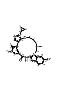 C[C@@H]1CCCOc2c(cnn2C2CC2)-c2cc(cn(C)c2=O)C(=O)Nc2nc3ccc(Br)cc3n2C1